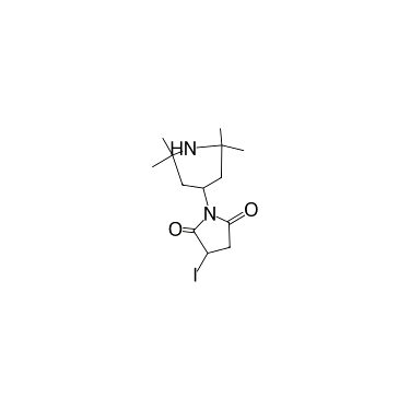 CC1(C)CC(N2C(=O)CC(I)C2=O)CC(C)(C)N1